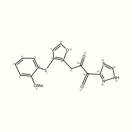 COc1ccccc1Sc1ccoc1CC(=O)C(=O)c1nc[nH]n1